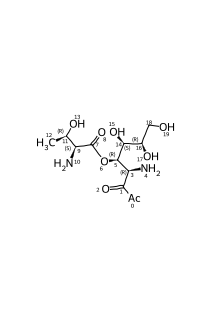 CC(=O)C(=O)[C@H](N)[C@@H](OC(=O)[C@@H](N)[C@@H](C)O)[C@@H](O)[C@H](O)CO